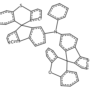 c1ccc(N(c2ccc3c(c2)C2(c4ccccc4Oc4ccccc42)c2ccccc2-3)c2ccc3c(c2)C2(c4ccccc4Sc4ccccc42)c2ccccc2-3)cc1